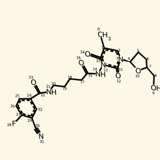 Cc1cn([C@H]2CCC(CO)O2)c(=O)n(NC(=O)CCCCNC(=O)c2ccc(F)c(C#N)c2)c1=O